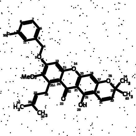 COc1c(OCc2cccc(F)c2)cc2oc3cc4c(c(O)c3c(=O)c2c1CC=C(C)C)C=CC(C)(C)O4